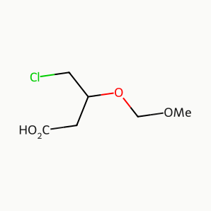 COCOC(CCl)CC(=O)O